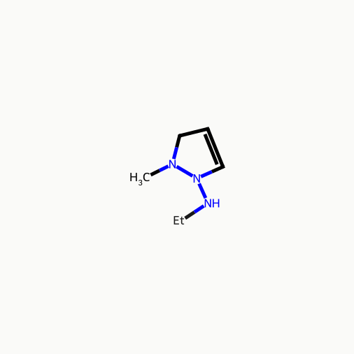 [CH2]CNN1C=CCN1C